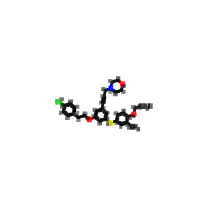 Cc1cc(Sc2cc(C#CCN3CCOCC3)cc(OCCc3ccc(Cl)cc3)c2)ccc1OCC(=O)O